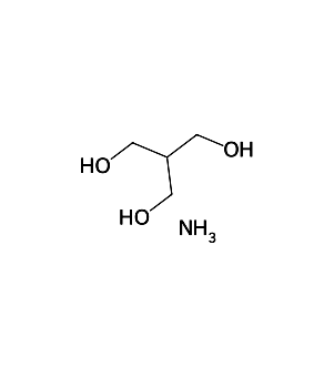 N.OCC(CO)CO